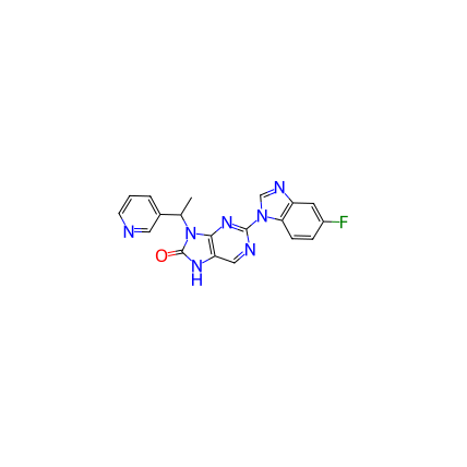 CC(c1cccnc1)n1c(=O)[nH]c2cnc(-n3cnc4cc(F)ccc43)nc21